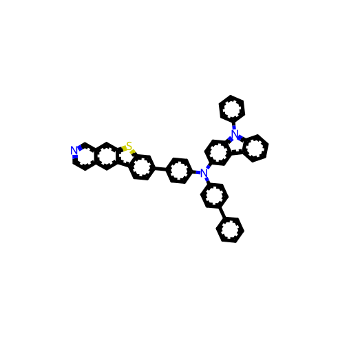 c1ccc(-c2ccc(N(c3ccc(-c4ccc5c(c4)sc4cc6cnccc6cc45)cc3)c3ccc4c(c3)c3ccccc3n4-c3ccccc3)cc2)cc1